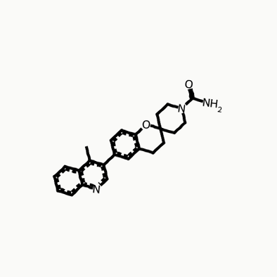 Cc1c(-c2ccc3c(c2)CCC2(CCN(C(N)=O)CC2)O3)cnc2ccccc12